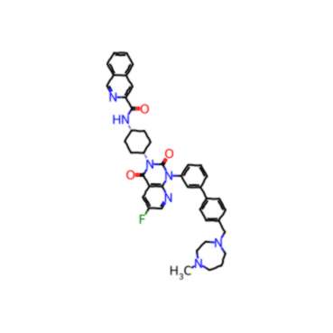 CN1CCCN(Cc2ccc(-c3cccc(-n4c(=O)n([C@H]5CC[C@@H](NC(=O)c6cc7ccccc7cn6)CC5)c(=O)c5cc(F)cnc54)c3)cc2)CC1